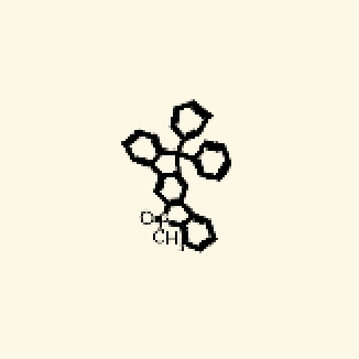 CP1(=O)c2ccccc2-c2cc3c(cc21)-c1ccccc1C3(c1ccccc1)c1ccccc1